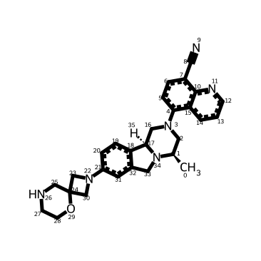 C[C@@H]1CN(c2ccc(C#N)c3ncccc23)C[C@@H]2c3ccc(N4CC5(CNCCO5)C4)cc3CN12